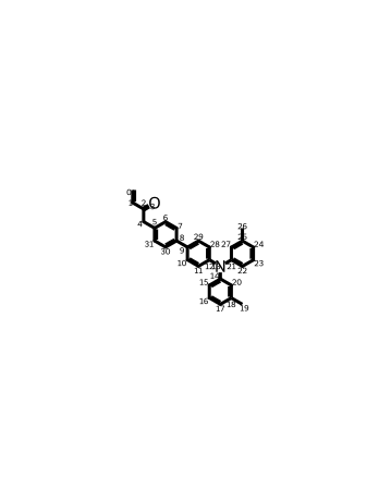 C=CC(=O)Cc1ccc(-c2ccc(N(c3cccc(C)c3)c3cccc(C)c3)cc2)cc1